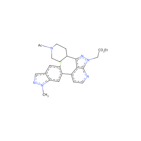 CCOC(=O)Cn1nc(C2CCN(C(C)=O)CC2)c2c(-c3cc4c(cnn4C)cc3F)ccnc21